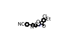 CCc1cc2c(cc1Cl)C(=O)/C(=C\c1cc3c(cc(-c4ccc(C#N)cc4)n3C)s1)C2=O